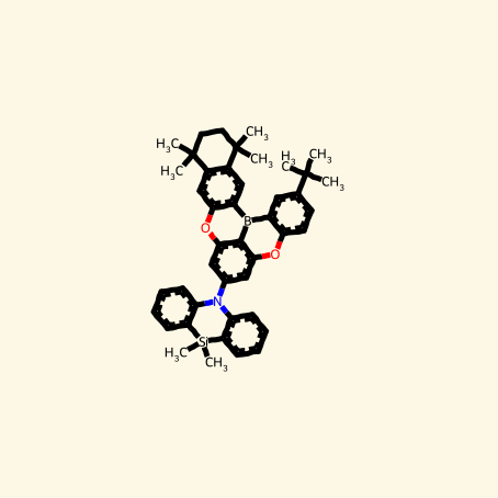 CC(C)(C)c1ccc2c(c1)B1c3cc4c(cc3Oc3cc(N5c6ccccc6[Si](C)(C)c6ccccc65)cc(c31)O2)C(C)(C)CCC4(C)C